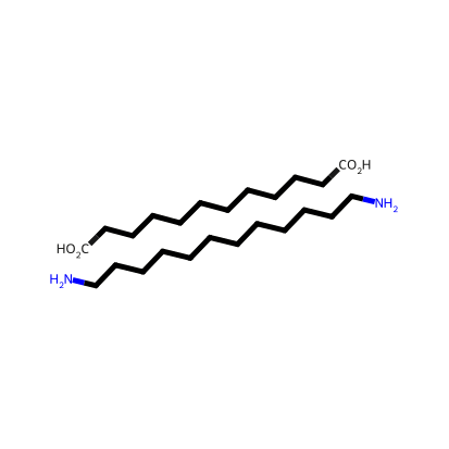 NCCCCCCCCCCCCN.O=C(O)CCCCCCCCCCC(=O)O